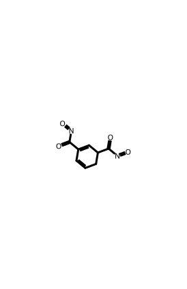 O=NC(=O)C1=CC(C(=O)N=O)CC=C1